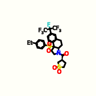 CCc1ccc(S(=O)(=O)C23CCN(C(=O)[C@H]4CCS(=O)(=O)C4)C2CCc2cc(C(F)(C(F)(F)F)C(F)(F)F)ccc23)cc1